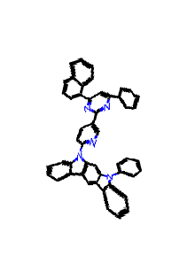 c1ccc(-c2cc(-c3cccc4ccccc34)nc(-c3ccc(-n4c5ccccc5c5cc6c7ccccc7n(-c7ccccc7)c6cc54)nc3)n2)cc1